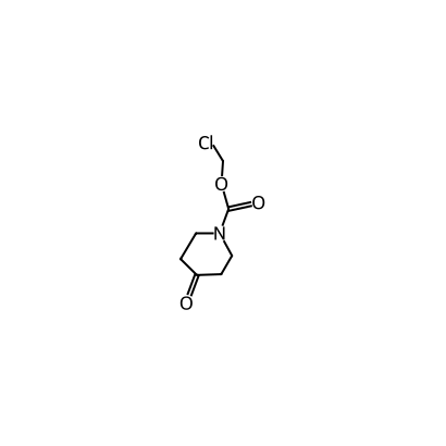 O=C1CCN(C(=O)OCCl)CC1